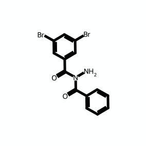 NN(C(=O)c1ccccc1)C(=O)c1cc(Br)cc(Br)c1